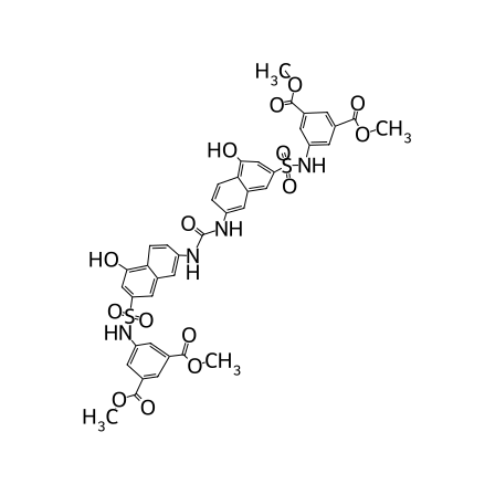 COC(=O)c1cc(NS(=O)(=O)c2cc(O)c3ccc(NC(=O)Nc4ccc5c(O)cc(S(=O)(=O)Nc6cc(C(=O)OC)cc(C(=O)OC)c6)cc5c4)cc3c2)cc(C(=O)OC)c1